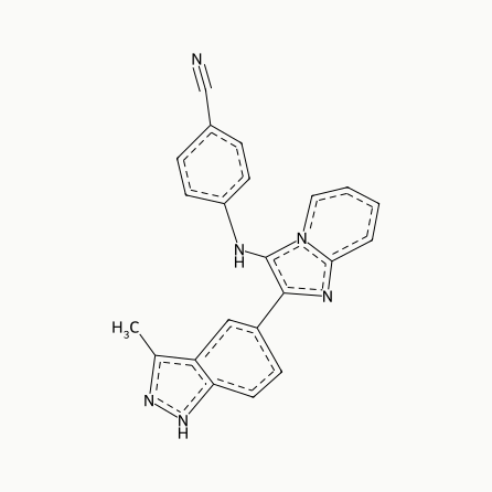 Cc1n[nH]c2ccc(-c3nc4ccccn4c3Nc3ccc(C#N)cc3)cc12